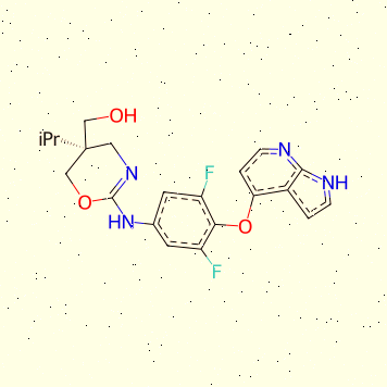 CC(C)[C@]1(CO)CN=C(Nc2cc(F)c(Oc3ccnc4[nH]ccc34)c(F)c2)OC1